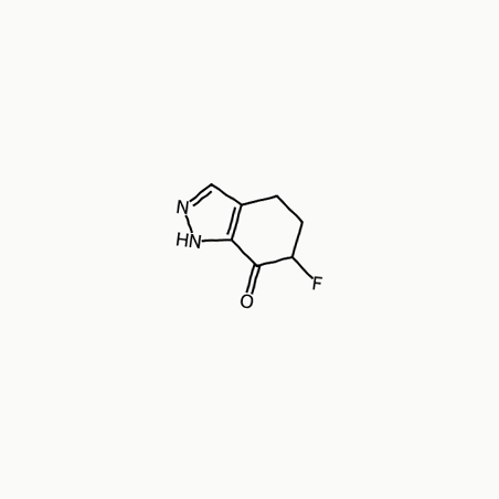 O=C1c2[nH]ncc2CCC1F